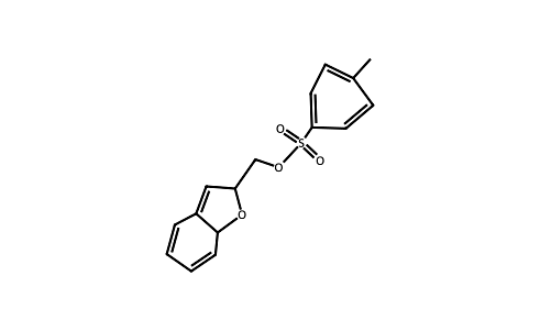 Cc1ccc(S(=O)(=O)OCC2C=C3C=CC=CC3O2)cc1